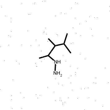 CC(C)C(C)C(C)NN